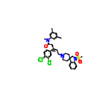 Cc1cc(C)cc(N(C)C(=O)C[C@@H](CCN2CCC3(CC2)CN(S(C)(=O)=O)c2ccccc23)c2ccc(Cl)c(Cl)c2)c1